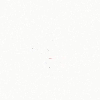 CCOC(=O)Cc1ccccc1NC(=O)c1cc2[nH]ccc2c(-c2cccc(CC)c2)n1